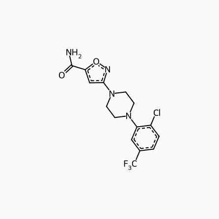 NC(=O)c1cc(N2CCN(c3cc(C(F)(F)F)ccc3Cl)CC2)no1